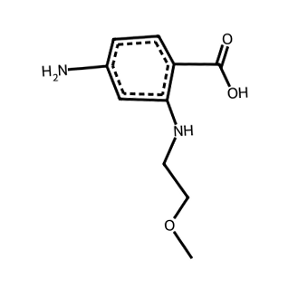 COCCNc1cc(N)ccc1C(=O)O